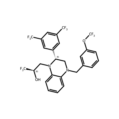 O[C@H](CN1c2ccccc2N(Cc2cccc(OC(F)(F)F)c2)C[C@H]1c1cc(C(F)(F)F)cc(C(F)(F)F)c1)C(F)(F)F